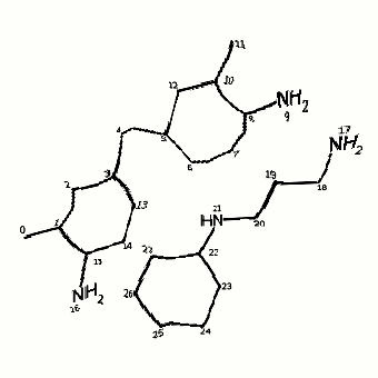 CC1CC(CC2CCC(N)C(C)C2)CCC1N.NCCCNC1CCCCC1